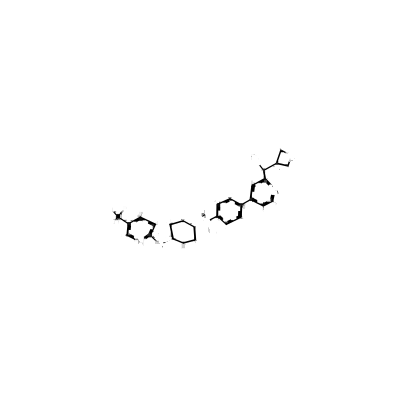 O=S(=O)(c1ccc(-c2ccnc(C(O)C3COC3)c2)cc1)[C@H]1CC[C@H](Nc2ccc(C(F)(F)F)cn2)CC1